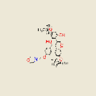 CC(C)(C)[Si](C)(C)Oc1ccc(C2=C(C(O)c3ccc(OCCN4CCOCC4)cc3)c3ccc(O[Si](C)(C)C(C)(C)C)cc3OC2)c(O)c1